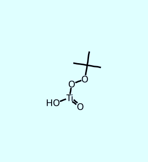 CC(C)(C)O[O][Ti](=[O])[OH]